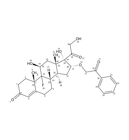 C[C@]12CCC(=O)C=C1CC[C@H]1[C@@H]3C[C@@H](OCC(=O)c4ccccc4)[C@](O)(C(=O)CO)[C@@]3(C)C[C@H](O)C12F